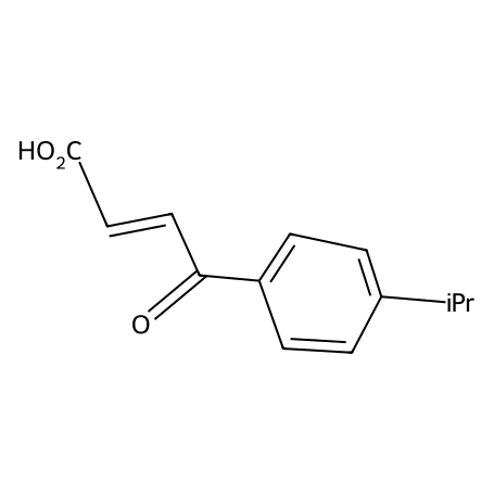 CC(C)c1ccc(C(=O)C=CC(=O)O)cc1